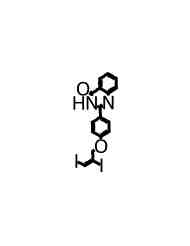 O=c1[nH]c(-c2ccc(OC/C(I)=C\I)cc2)nc2ccccc12